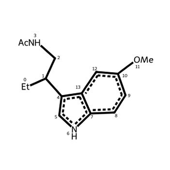 CCC(CNC(C)=O)c1c[nH]c2ccc(OC)cc12